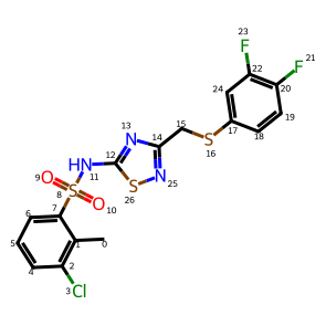 Cc1c(Cl)cccc1S(=O)(=O)Nc1nc(CSc2ccc(F)c(F)c2)ns1